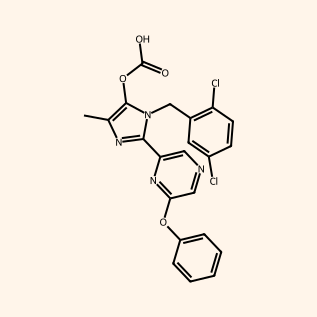 Cc1nc(-c2cncc(Oc3ccccc3)n2)n(Cc2cc(Cl)ccc2Cl)c1OC(=O)O